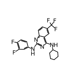 Fc1ccc(Nc2nc(NC3CCCCC3)c3cc(C(F)(F)F)ccc3n2)cc1F